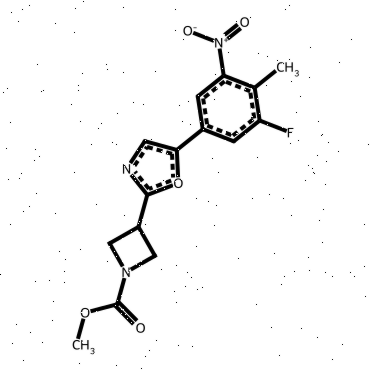 COC(=O)N1CC(c2ncc(-c3cc(F)c(C)c([N+](=O)[O-])c3)o2)C1